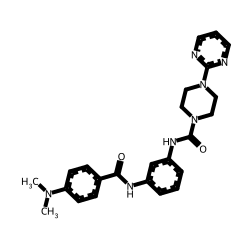 CN(C)c1ccc(C(=O)Nc2cccc(NC(=O)N3CCN(c4ncccn4)CC3)c2)cc1